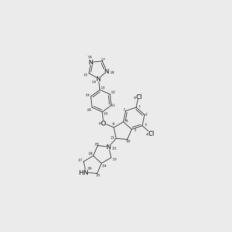 Clc1cc(Cl)c2c(c1)C(Oc1ccc(-n3cncn3)cc1)C(N1CC3CNCC3C1)C2